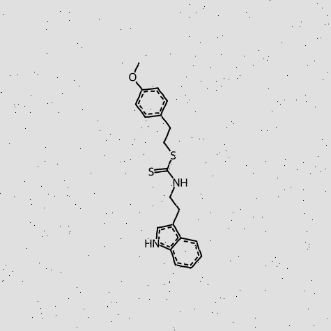 COc1ccc(CCSC(=S)NCCc2c[nH]c3ccccc23)cc1